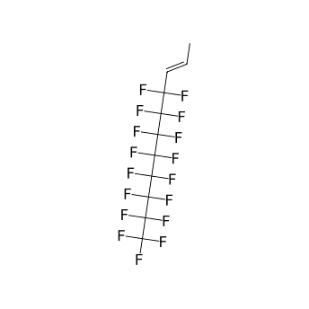 CC=CC(F)(F)C(F)(F)C(F)(F)C(F)(F)C(F)(F)C(F)(F)C(F)(F)C(F)(F)F